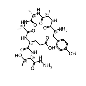 C[C@H](NC(=O)[C@H](C)NC(=O)[C@@H](N)Cc1ccc(O)cc1)C(=O)N[C@@H](C)C(=O)N[C@@H](CCC(=O)O)C(=O)N[C@H](C(=O)NN)[C@@H](C)O